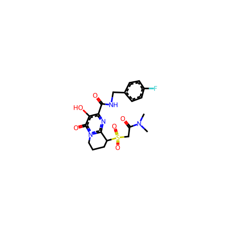 CN(C)C(=O)CS(=O)(=O)C1CCCn2c1nc(C(=O)NCc1ccc(F)cc1)c(O)c2=O